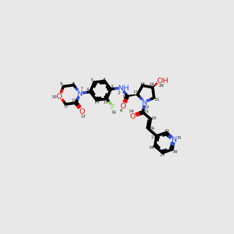 O=C(Nc1ccc(N2CCOCC2=O)cc1F)[C@H]1C[C@@H](O)CN1C(=O)C=Cc1cccnc1